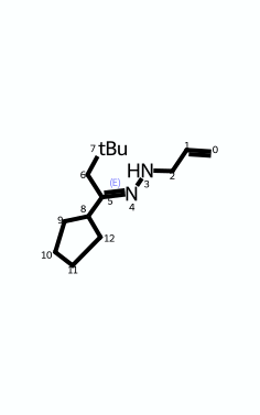 C=CCN/N=C(\CC(C)(C)C)C1CCCC1